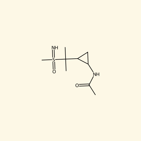 CC(=O)NC1CC1C(C)(C)S(C)(=N)=O